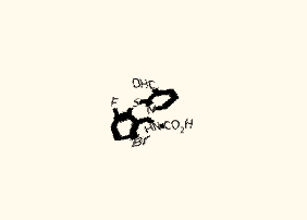 O=Cc1cccnc1Sc1c(F)ccc(Br)c1CNC(=O)O